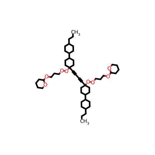 CCCC1CCC(C2CCC(C#CC#CC3(OOCCCOC4CCCCO4)CCC(C4CCC(CCC)CC4)CC3)(OOCCCOC3CCCCO3)CC2)CC1